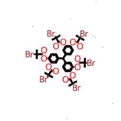 CC(C)(Br)C(=O)Oc1ccc(C(c2ccc(OC(=O)C(C)(C)Br)c(OC(=O)C(C)(C)Br)c2)c2ccc(OC(=O)C(C)(C)Br)c(OC(=O)C(C)(C)Br)c2)cc1OC(=O)C(C)(C)Br